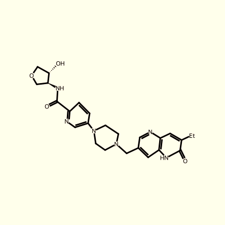 CCc1cc2ncc(CN3CCN(c4ccc(C(=O)N[C@H]5COC[C@@H]5O)nc4)CC3)cc2[nH]c1=O